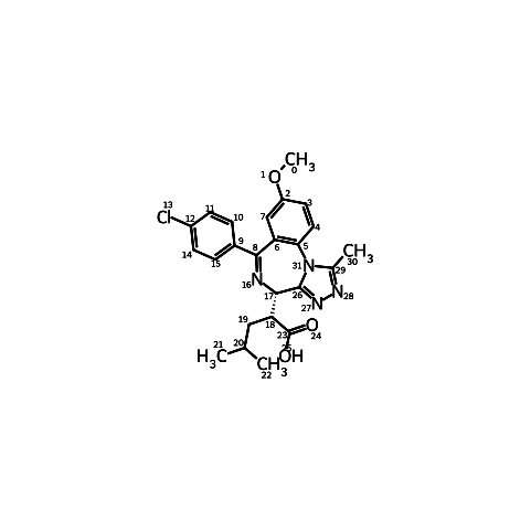 COc1ccc2c(c1)C(c1ccc(Cl)cc1)=N[C@@H](C(CC(C)C)C(=O)O)c1nnc(C)n1-2